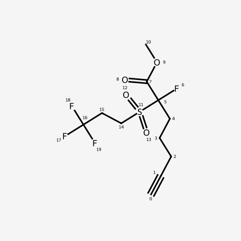 C#CCCCC(F)(C(=O)OC)S(=O)(=O)CCC(F)(F)F